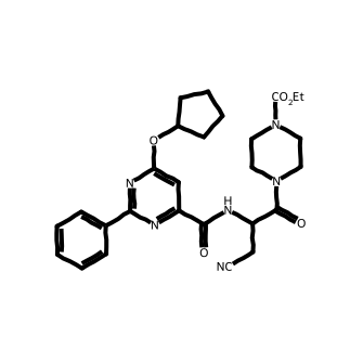 CCOC(=O)N1CCN(C(=O)C(CC#N)NC(=O)c2cc(OC3CCCC3)nc(-c3ccccc3)n2)CC1